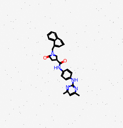 Cc1cc(C)nc(Nc2ccc(NC(=O)C3CC(=O)N(Cc4cccc5ccccc45)C3)cc2)n1